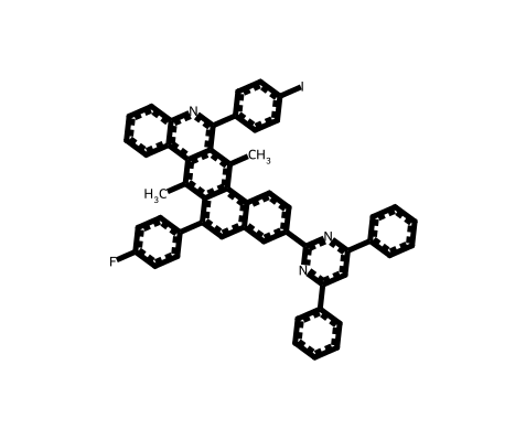 Cc1c2c(-c3ccc(I)cc3)nc3ccccc3c2c(C)c2c(-c3ccc(F)cc3)cc3cc(-c4nc(-c5ccccc5)cc(-c5ccccc5)n4)ccc3c12